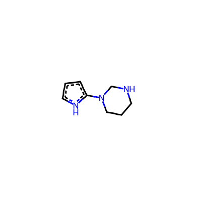 c1c[nH]c(N2CCCNC2)c1